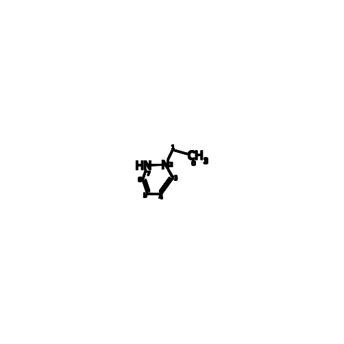 CCN1C=CC=CN1